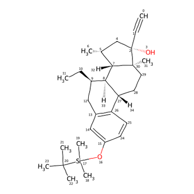 C#C[C@]1(O)C[C@@H](C)[C@H]2[C@@H]3[C@H](CC)Cc4cc(O[Si](C)(C)C(C)(C)C)ccc4[C@H]3CC[C@@]21C